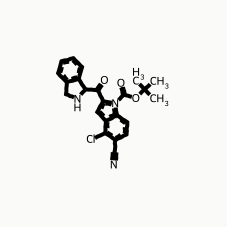 CC(C)(C)OC(=O)n1c(C(=O)C2NCc3ccccc32)cc2c(Cl)c(C#N)ccc21